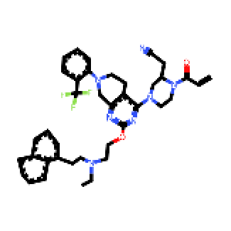 C=CC(=O)N1CCN(c2nc(OCCN(CC)CCc3cccc4ccccc34)nc3c2CCN(c2ccccc2C(F)(F)F)C3)CC1CC#N